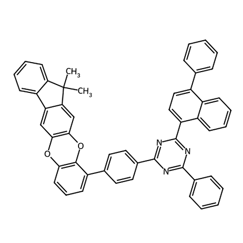 CC1(C)c2ccccc2-c2cc3c(cc21)Oc1c(cccc1-c1ccc(-c2nc(-c4ccccc4)nc(-c4ccc(-c5ccccc5)c5ccccc45)n2)cc1)O3